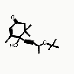 CC1=CC(=O)CC(C)(C)C1(O)C#CC(C)OC(C)(C)C